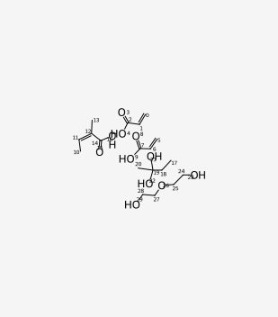 C=CC(=O)O.C=CC(=O)O.CC=C(C)C(=O)O.CCC(C)(O)O.OCCOCCO